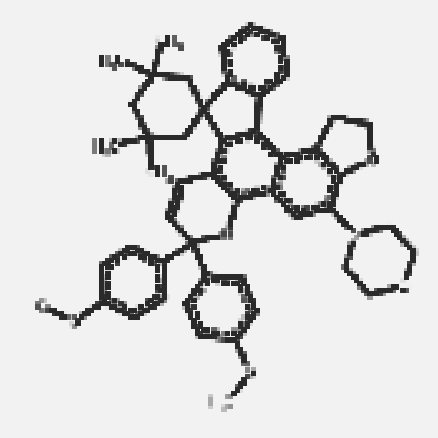 COc1ccc(C2(c3ccc(OC)cc3)C=Cc3c4c(c5c6c(c(N7CCOCC7)cc5c3O2)OCC6)-c2ccccc2C42CC(C)(C)CC(C)(C)C2)cc1